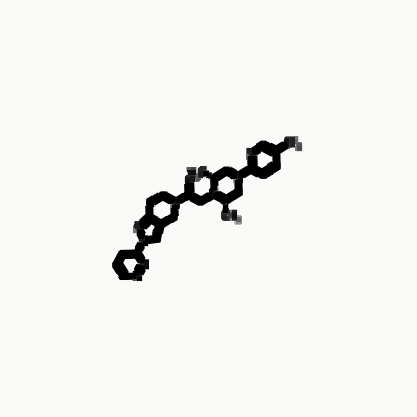 C[C@@H]1CN(c2ccc(C(F)(F)F)cn2)C[C@H](C)N1CC(=O)N1CCc2nn(-c3cccnn3)cc2C1